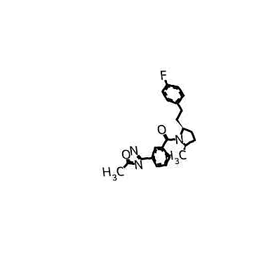 Cc1nc(-c2cccc(C(=O)N3[C@@H](CCc4ccc(F)cc4)CC[C@H]3C)c2)no1